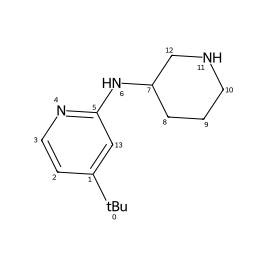 CC(C)(C)c1ccnc(NC2CCCNC2)c1